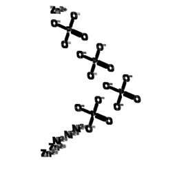 O=P([O-])([O-])[O-].O=P([O-])([O-])[O-].O=P([O-])([O-])[O-].O=P([O-])([O-])[O-].[Ni+2].[Ni+2].[Ni+2].[Zn+2].[Zn+2].[Zn+2]